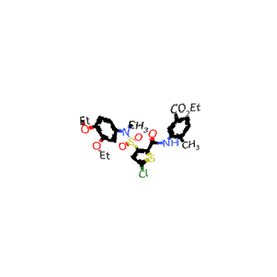 CCOC(=O)c1ccc(C)c(NC(=O)c2sc(Cl)cc2S(=O)(=O)N(C)c2ccc(OCC)c(OCC)c2)c1